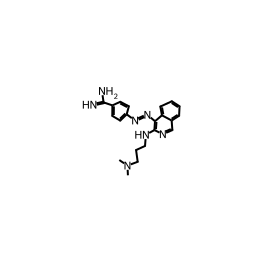 CN(C)CCCNc1ncc2ccccc2c1/N=N/c1ccc(C(=N)N)cc1